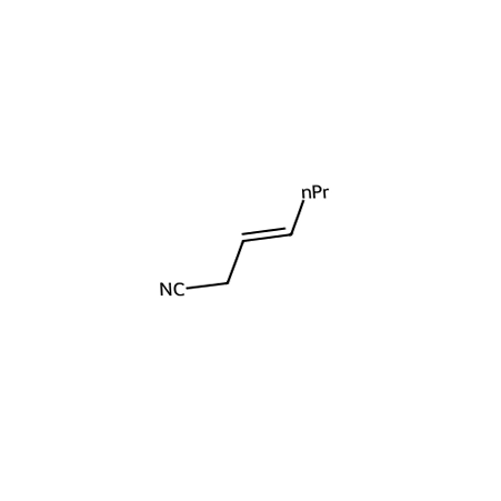 [CH2]CCC=CCC#N